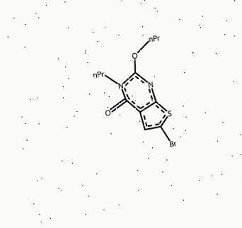 CCCOc1nc2sc(Br)cc2c(=O)n1CCC